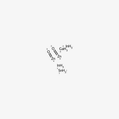 [GaH3].[InH3].[InH3].[O]=[Zn].[O]=[Zn].[SnH2]